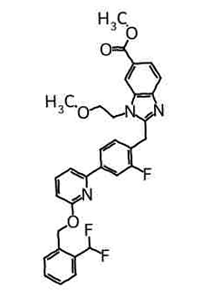 COCCn1c(Cc2ccc(-c3cccc(OCc4ccccc4C(F)F)n3)cc2F)nc2ccc(C(=O)OC)cc21